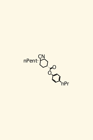 CCCCC[C@]1(C#N)CC[C@H](C(=O)Oc2ccc(CCC)cc2)CC1